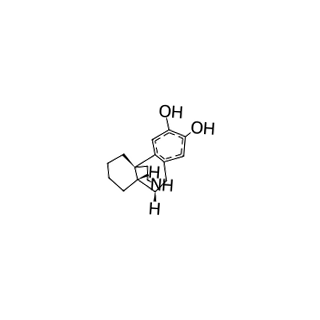 Oc1cc2c(cc1O)[C@@]13CCCC[C@H]1[C@@H](C2)NCC3